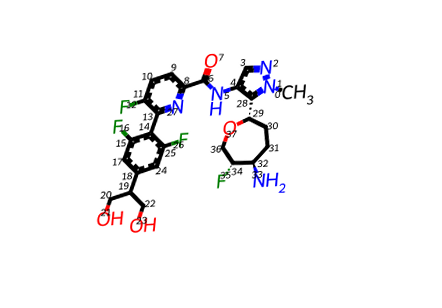 Cn1ncc(NC(=O)c2ccc(F)c(-c3c(F)cc(C(CO)CO)cc3F)n2)c1[C@@H]1CC[C@@H](N)[C@H](F)CO1